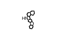 c1ccc2c(c1)Cc1cc3c(cc1-2)[nH]c1ccc2ccccc2c13